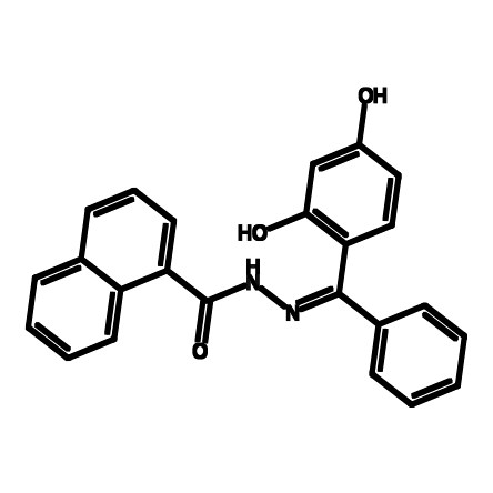 O=C(N/N=C(/c1ccccc1)c1ccc(O)cc1O)c1cccc2ccccc12